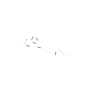 Nc1nc2c(s1)CCN(CC=Cc1cccc3cnccc13)CC2